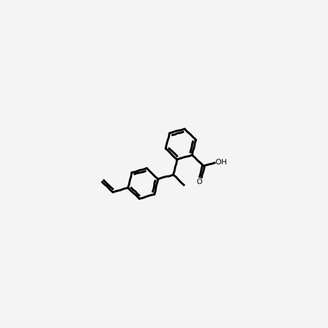 C=Cc1ccc(C(C)c2ccccc2C(=O)O)cc1